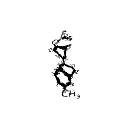 Cc1ccc2cc(-c3ccc(OC(F)F)cc3)ccc2c1